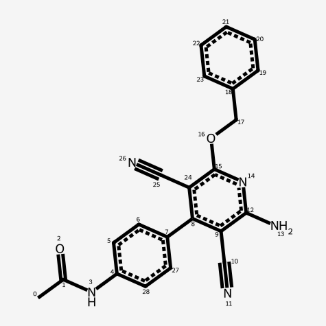 CC(=O)Nc1ccc(-c2c(C#N)c(N)nc(OCc3ccccc3)c2C#N)cc1